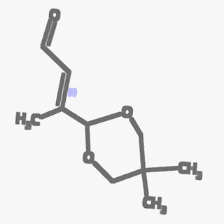 C/C(=C\C=O)C1OCC(C)(C)CO1